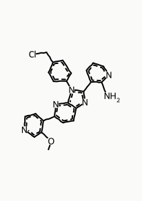 COc1cnccc1-c1ccc2nc(-c3cccnc3N)n(-c3ccc(CCl)cc3)c2n1